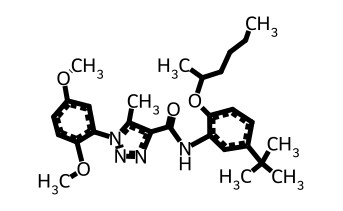 CCCCC(C)Oc1ccc(C(C)(C)C)cc1NC(=O)c1nnn(-c2cc(OC)ccc2OC)c1C